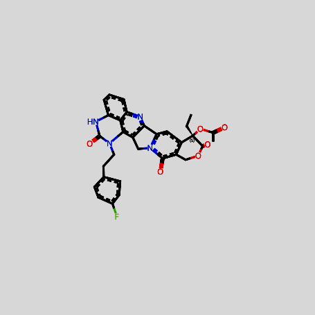 CC[C@@]1(OC(C)=O)C(=O)OCc2c1cc1n(c2=O)Cc2c-1nc1cccc3c1c2N(CCc1ccc(F)cc1)C(=O)N3